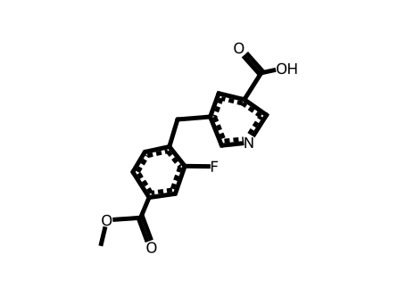 COC(=O)c1ccc(Cc2cncc(C(=O)O)c2)c(F)c1